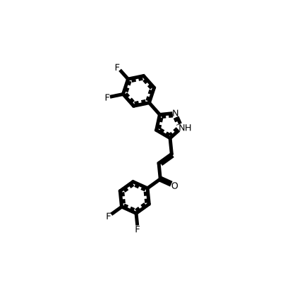 O=C(C=Cc1cc(-c2ccc(F)c(F)c2)n[nH]1)c1ccc(F)c(F)c1